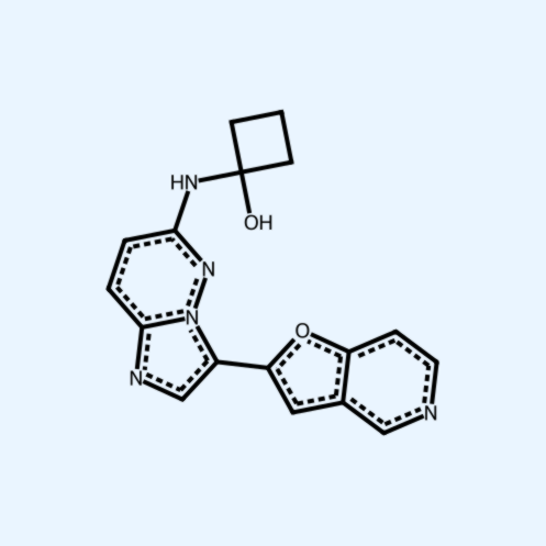 OC1(Nc2ccc3ncc(-c4cc5cnccc5o4)n3n2)CCC1